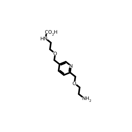 NCCOCc1ccc(COCCNC(=O)O)cn1